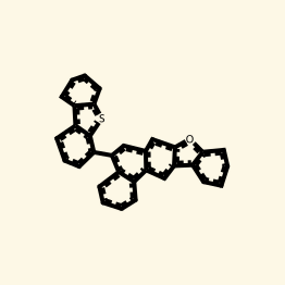 c1ccc2c(c1)oc1cc3cc(-c4cccc5c4sc4ccccc45)c4ccccc4c3cc12